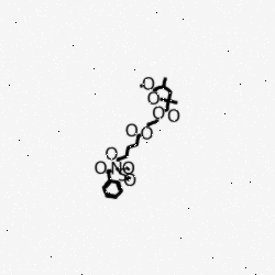 COC(=O)C(C)CC(C)(C)C(=O)OCCOC(=O)CCCC(=O)N1C(=O)c2ccccc2S1(=O)=O